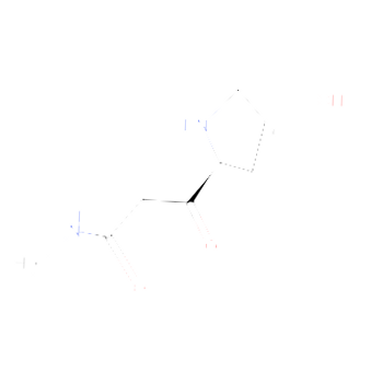 CNC(=O)CC(=O)[C@@H]1C[C@@H](O)CN1